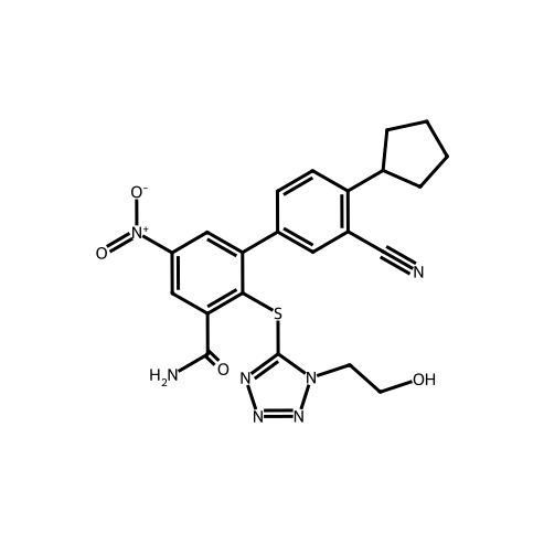 N#Cc1cc(-c2cc([N+](=O)[O-])cc(C(N)=O)c2Sc2nnnn2CCO)ccc1C1CCCC1